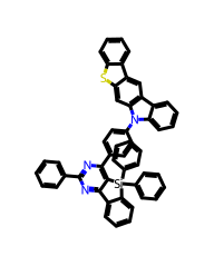 c1ccc(-c2nc(-c3ccc(-n4c5ccccc5c5cc6c(cc54)sc4ccccc46)cc3)c3c(n2)-c2ccccc2[Si]3(c2ccccc2)c2ccccc2)cc1